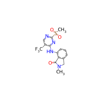 CN1Cc2cccc(Nc3nc(S(C)(=O)=O)ncc3C(F)(F)F)c2C1=O